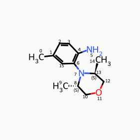 Cc1ccc(N)c(N2[C@@H](C)COC[C@@H]2C)c1